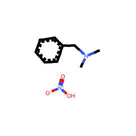 CN(C)Cc1ccccc1.O=[N+]([O-])O